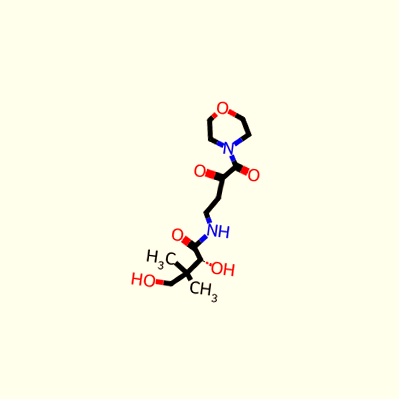 CC(C)(CO)[C@@H](O)C(=O)NCCC(=O)C(=O)N1CCOCC1